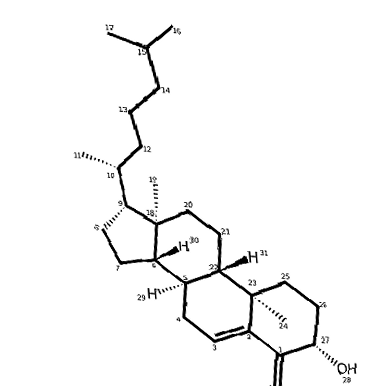 C=C1C2=CC[C@H]3[C@@H]4CC[C@H]([C@H](C)CCCC(C)C)[C@@]4(C)CC[C@@H]3[C@@]2(C)CC[C@@H]1O